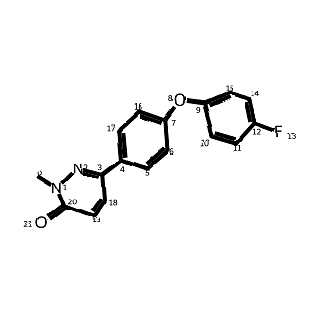 Cn1nc(-c2ccc(Oc3ccc(F)cc3)cc2)ccc1=O